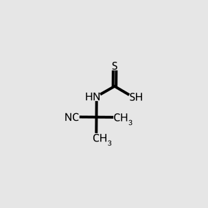 CC(C)(C#N)NC(=S)S